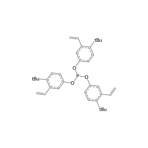 C=Cc1cc(OP(Oc2ccc(C(C)(C)C)c(C=C)c2)Oc2ccc(C(C)(C)C)c(C=C)c2)ccc1C(C)(C)C